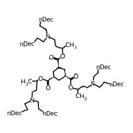 CCCCCCCCCCCCN(CCCCCCCCCCCC)CCC(C)OC(=O)[C@H]1C[C@@H](C(=O)OC(C)CCN(CCCCCCCCCCCC)CCCCCCCCCCCC)C[C@@H](C(=O)OC(C)CCN(CCCCCCCCCCCC)CCCCCCCCCCCC)C1